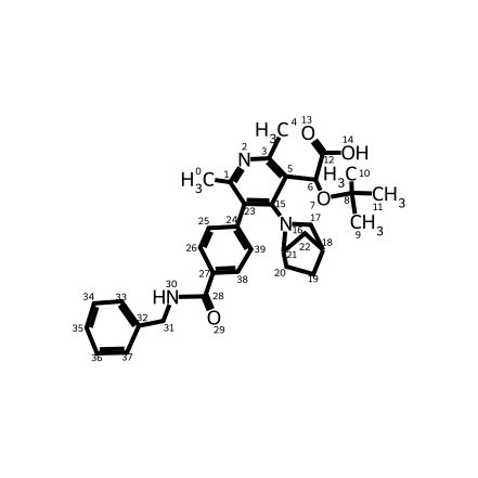 Cc1nc(C)c(C(OC(C)(C)C)C(=O)O)c(N2CC3CCC2C3)c1-c1ccc(C(=O)NCc2ccccc2)cc1